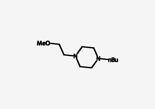 CCCCN1CCN(CCOC)CC1